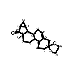 C[C@]12CCC3C4CCC5(CC4=CCC3C1C1CC1C2=O)OCCO5